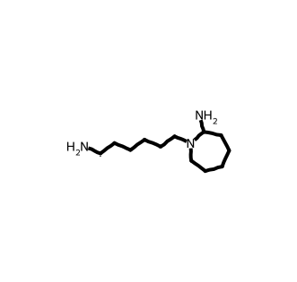 N[CH]CCCCCN1CCCCCC1N